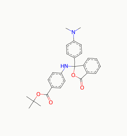 CN(C)c1ccc(C2(Nc3ccc(C(=O)OC(C)(C)C)cc3)OC(=O)c3ccccc32)cc1